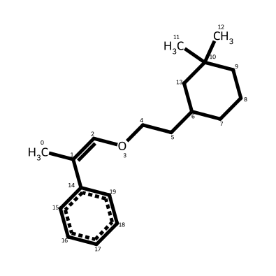 CC(=COCCC1CCCC(C)(C)C1)c1ccccc1